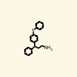 NCCC(c1ccccc1)c1ccc(Sc2ccccc2)cc1